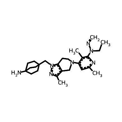 C=NN(CC)c1nc(C)cc(N2CCc3c(c(C)nn3CC34CCC(N)(CC3)CC4)C2)c1C